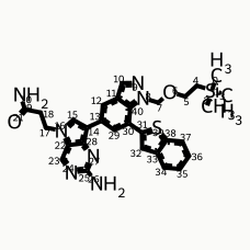 C[Si](C)(C)CCOCn1ncc2cc(-c3cn(CCC(N)=O)c4cnc(N)nc34)cc(-c3cc4ccccc4s3)c21